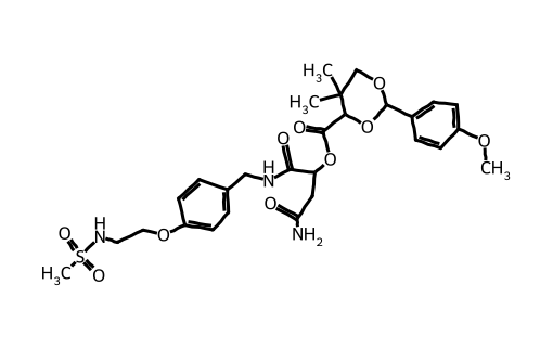 COc1ccc(C2OCC(C)(C)C(C(=O)OC(CC(N)=O)C(=O)NCc3ccc(OCCNS(C)(=O)=O)cc3)O2)cc1